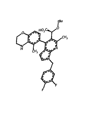 Cc1nc2c(ccn2Cc2ccc(F)c(F)c2)c(-c2ccc3c(c2C)NCCO3)c1[C@H](OC(C)(C)C)C(=O)O